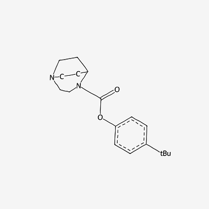 CC(C)(C)c1ccc(OC(=O)N2CCN3CCC2CC3)cc1